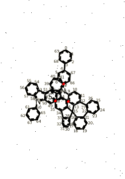 c1ccc(-c2ccc(N(c3ccc4c(c3)C3(c5ccccc5-c5ccccc5-4)c4ccccc4-c4cc5sc6ccccc6c5cc43)c3ccc4c(c3)c3ccccc3n4-c3ccccc3)cc2)cc1